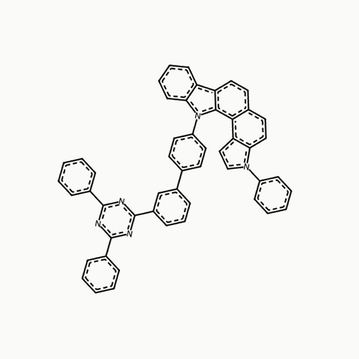 c1ccc(-c2nc(-c3ccccc3)nc(-c3cccc(-c4ccc(-n5c6ccccc6c6ccc7ccc8c(ccn8-c8ccccc8)c7c65)cc4)c3)n2)cc1